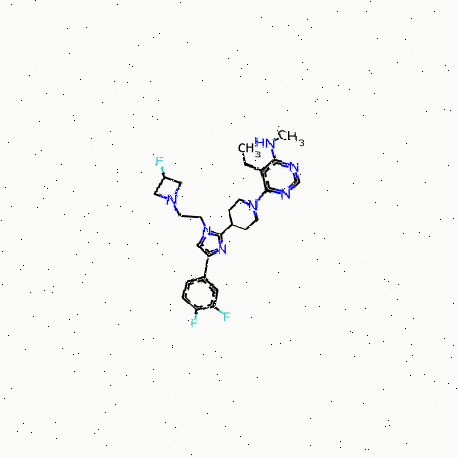 CCc1c(NC)ncnc1N1CCC(c2nc(-c3ccc(F)c(F)c3)cn2CCN2CC(F)C2)CC1